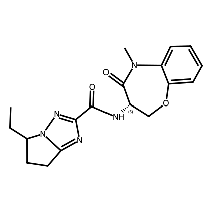 CCC1CCc2nc(C(=O)N[C@H]3COc4ccccc4N(C)C3=O)nn21